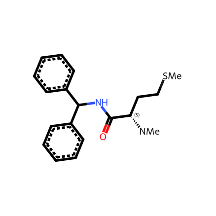 CN[C@@H](CCSC)C(=O)NC(c1ccccc1)c1ccccc1